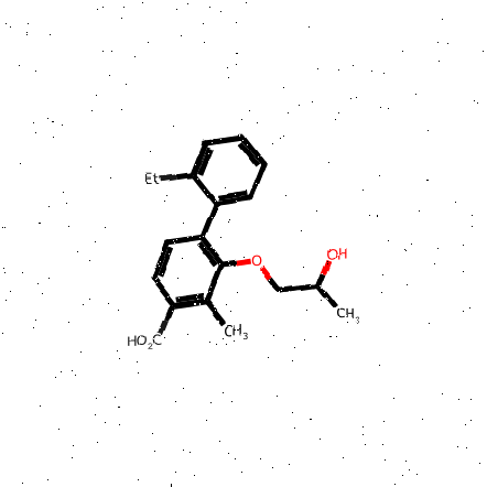 CCc1ccccc1-c1ccc(C(=O)O)c(C)c1OCC(C)O